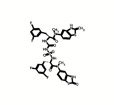 C=C1Nc2cc(N(C)C(=O)[C@H](Cc3cc(F)cc(F)c3)NC(=O)NS(=O)(=O)N[C@@H](Cc3cc(F)cc(F)c3)C(=O)N(C)c3ccc4sc(=O)[nH]c4c3)ccc2S1